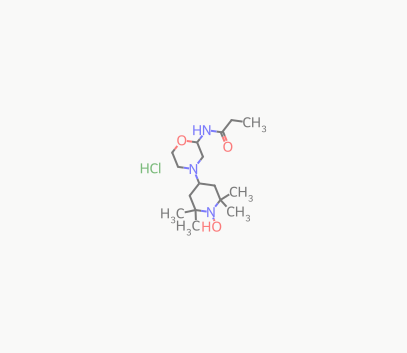 CCC(=O)NC1CN(C2CC(C)(C)N(O)C(C)(C)C2)CCO1.Cl